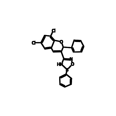 Clc1cc(Cl)c2c(c1)C=C(C1=NOB(c3ccccc3)N1)C(c1ccccc1)O2